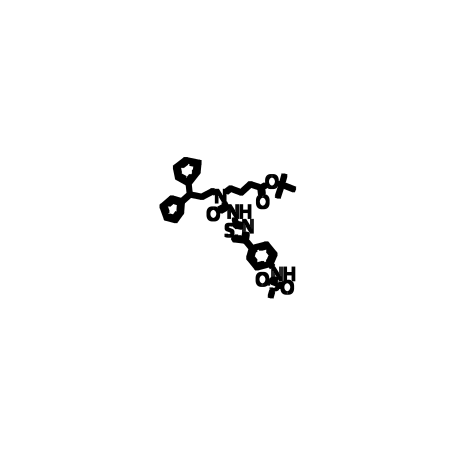 CC(C)(C)OC(=O)CCCN(CCC(c1ccccc1)c1ccccc1)C(=O)Nc1nc(-c2ccc(NS(C)(=O)=O)cc2)cs1